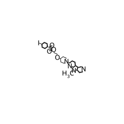 Cn1c2ccncc2c2ccc(N3CCC(OCCOS(=O)(=O)c4ccc(I)cc4)CC3)nc21